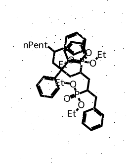 CCCCCC(CC(CC(CC(Cc1ccccc1)P(=O)(OCC)OCC)P(=O)(OCC)OCC)(c1ccccc1)c1ccccc1)c1ccccc1